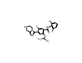 CC(Oc1cc(-c2nnc3n2CCNC3)c(F)cc1C(=O)Nc1c(F)cccc1Cl)C(F)(F)F